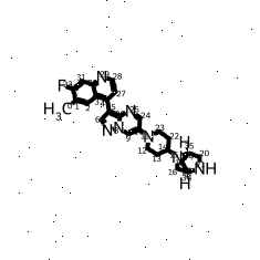 Cc1cc2c(-c3cnn4cc(N5CCC(N6C[C@H]7C[C@@H]6CN7)CC5)cnc34)ccnc2cc1F